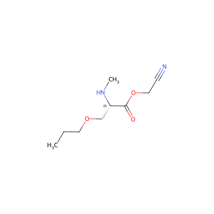 CCCOC[C@H](NC)C(=O)OCC#N